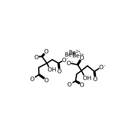 O=C([O-])CC(O)(CC(=O)[O-])C(=O)[O-].O=C([O-])CC(O)(CC(=O)[O-])C(=O)[O-].[Be+2].[Be+2].[Be+2]